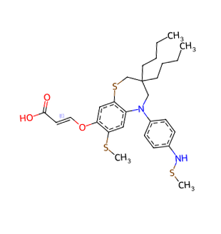 CCCCC1(CCCC)CSc2cc(O/C=C/C(=O)O)c(SC)cc2N(c2ccc(NSC)cc2)C1